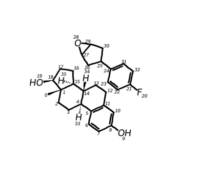 C[C@]12CC[C@@H]3c4ccc(O)cc4CC[C@H]3[C@@H]1CC[C@@H]2O.Fc1ccc(C2CC3OC3C2)cc1